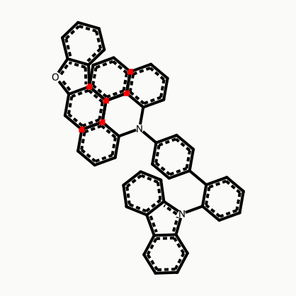 c1ccc(-c2ccccc2N(c2ccc(-c3ccccc3-n3c4ccccc4c4ccccc43)cc2)c2ccccc2-c2cccc3oc4ccccc4c23)cc1